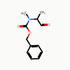 CC(C=O)N(C)C(=O)OCc1ccccc1